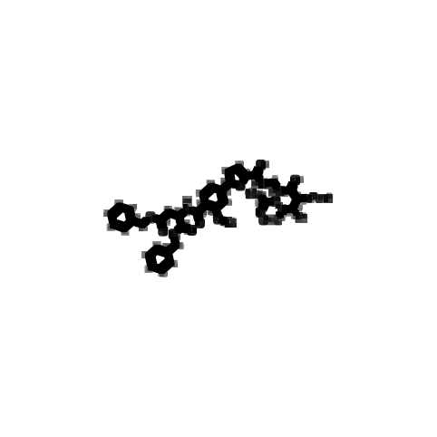 CCCCCC(C(=O)NCNC(=O)c1ccc(-c2ccc(C(=O)NC(CC(=O)OCc3ccccc3)C(=O)OCc3ccccc3)c(OCC)c2)o1)[C@@H](CC)N(C=O)OC(=O)C(C)(C)C